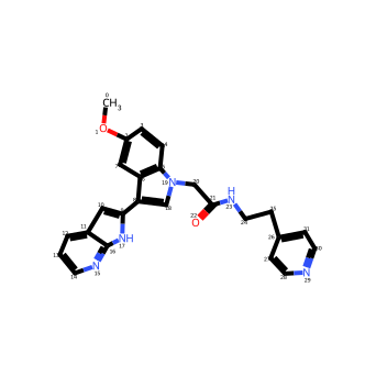 COc1ccc2c(c1)c(-c1cc3cccnc3[nH]1)cn2CC(=O)NCCc1ccncc1